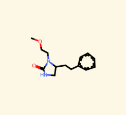 COCCN1C(=O)NCC1CCc1ccccc1